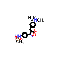 CN(C)c1ccc(C=C2C(=O)ON=C2c2ccc(NS(C)(=O)=O)cc2)cc1